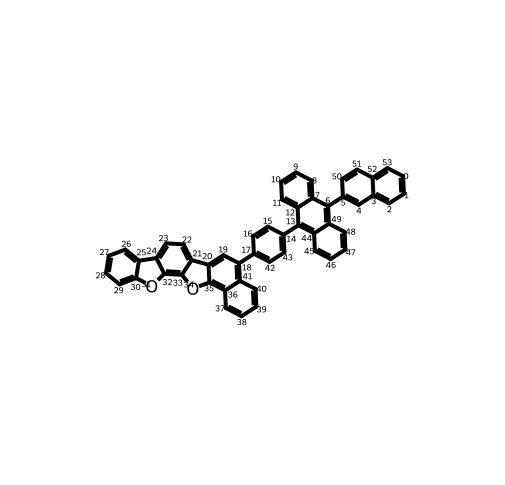 c1ccc2cc(-c3c4ccccc4c(-c4ccc(-c5cc6c7ccc8c9ccccc9oc8c7oc6c6ccccc56)cc4)c4ccccc34)ccc2c1